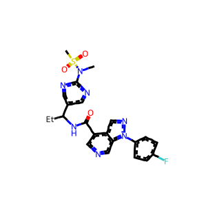 CCC(NC(=O)c1cncc2c1cnn2-c1ccc(F)cc1)c1cnc(N(C)S(C)(=O)=O)nc1